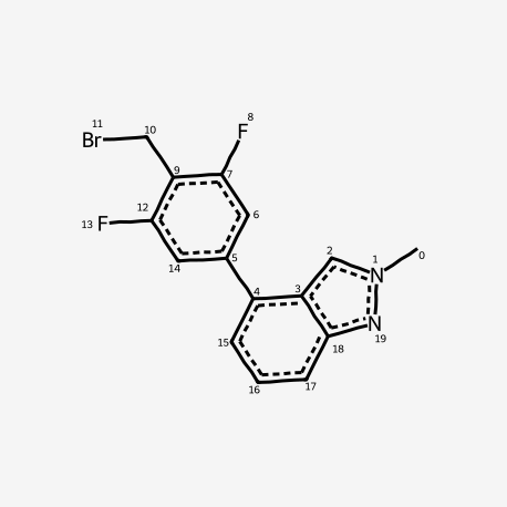 Cn1cc2c(-c3cc(F)c(CBr)c(F)c3)cccc2n1